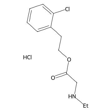 CCNCC(=O)OCCc1ccccc1Cl.Cl